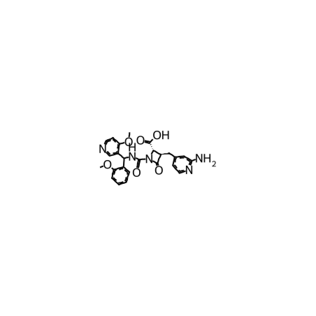 COc1ccccc1C(NC(=O)N1C(=O)[C@H](Cc2ccnc(N)c2)[C@H]1C(=O)O)c1cnccc1OC